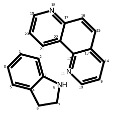 c1ccc2c(c1)CCN2.c1cnc2c(c1)ccc1ncccc12